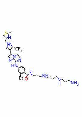 CCc1cc(Nc2nccn3c(-c4cn(Cc5csc(C)n5)nc4C(F)(F)F)cnc23)ccc1C(=O)NCCCNCCCCNCCCN